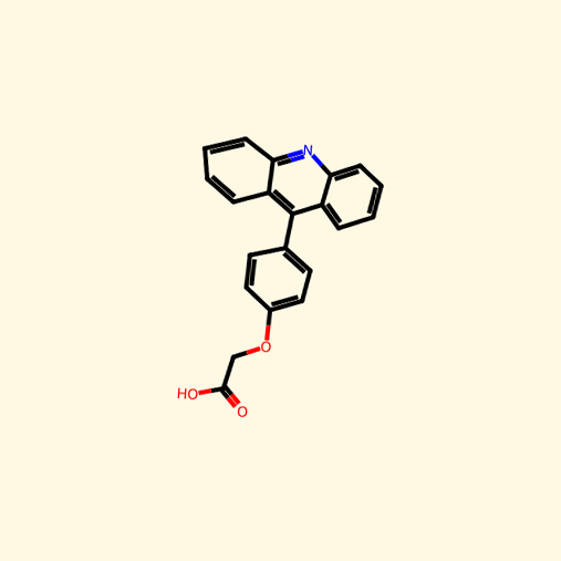 O=C(O)COc1ccc(-c2c3ccccc3nc3ccccc23)cc1